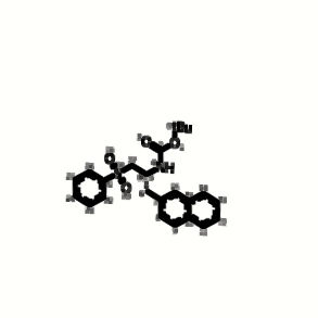 CC(C)(C)OC(=O)N[C@H](Cc1ccc2ccccc2c1)CS(=O)(=O)c1ccccc1